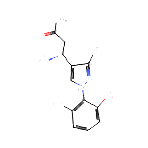 COC(=O)C[C@H](N)c1cn(-c2c(C)cccc2O)nc1C(F)(F)F